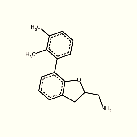 Cc1cccc(-c2cccc3c2OC(CN)C3)c1C